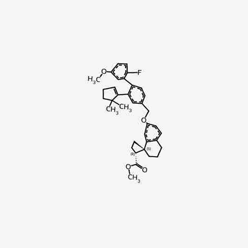 COC(=O)[C@@H]1CC[C@@]12CCCc1ccc(OCc3ccc(-c4cc(OC)ccc4F)c(C4=CCCC4(C)C)c3)cc12